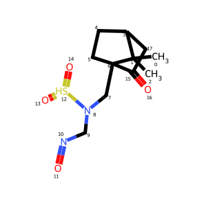 CC1(C)C2CCC1(CN(CN=O)[SH](=O)=O)C(=O)C2